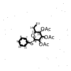 CC(=O)OC1C(OC(C)=O)[C@@H](Sc2ccccc2)OC(CI)[C@H]1OC(C)=O